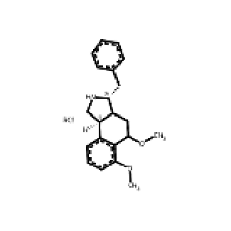 COc1cccc2c1C(OC)CC1[C@@H]2CN[C@@H]1Cc1ccccc1.Cl